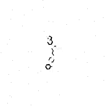 NC(=O)N(CCCCN1CCN(c2cccc(Cl)c2Cl)CC1)c1ccn2nccc2c1